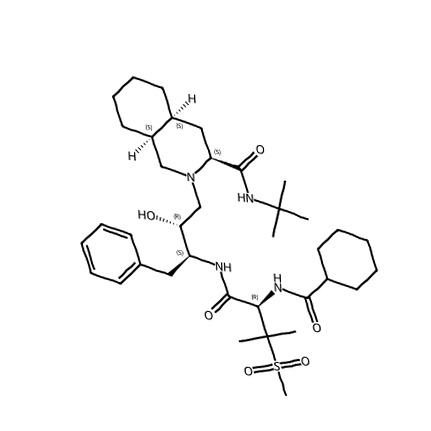 CC(C)(C)NC(=O)[C@@H]1C[C@@H]2CCCC[C@@H]2CN1C[C@@H](O)[C@H](Cc1ccccc1)NC(=O)[C@@H](NC(=O)C1CCCCC1)C(C)(C)S(C)(=O)=O